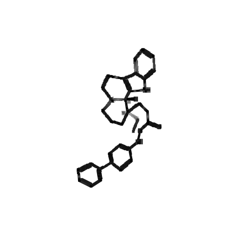 CC[C@]1(CCC(=O)ONc2ccc(-c3ccccc3)cc2)CCCN2CCc3c([nH]c4ccccc34)[C@@H]21